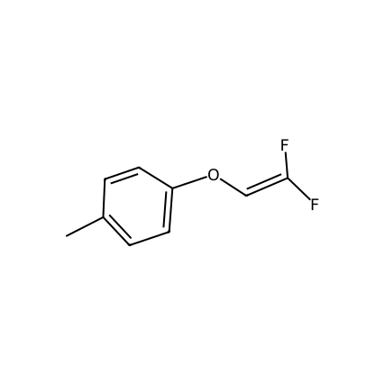 Cc1ccc(OC=C(F)F)cc1